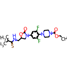 CCOC(=O)N1CCN(c2c(F)cc(N3CC(CNC(=S)C(C)C)OC3=O)cc2F)CC1